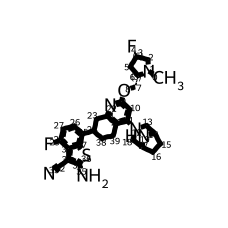 CN1C[C@@H](F)C[C@H]1COc1cc(N2CC3CCC(C2)N3)c2c(n1)CC(c1ccc(F)c3c(C#N)c(N)sc13)CC2